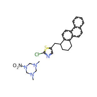 CN1CN(C)CN([N+](=O)[O-])C1.Clc1ncc(CC2CCCc3c2ccc2c3ccc3ccccc32)s1